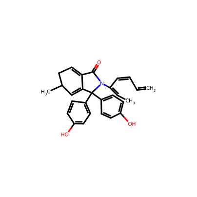 C=C/C=C\C(=C/C)N1C(=O)C2=CCC(C)C=C2C1(c1ccc(O)cc1)c1ccc(O)cc1